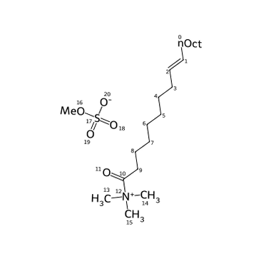 CCCCCCCCC=CCCCCCCCC(=O)[N+](C)(C)C.COS(=O)(=O)[O-]